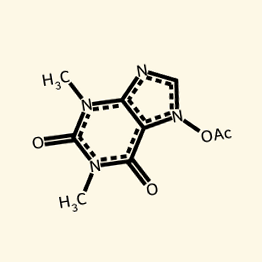 CC(=O)On1cnc2c1c(=O)n(C)c(=O)n2C